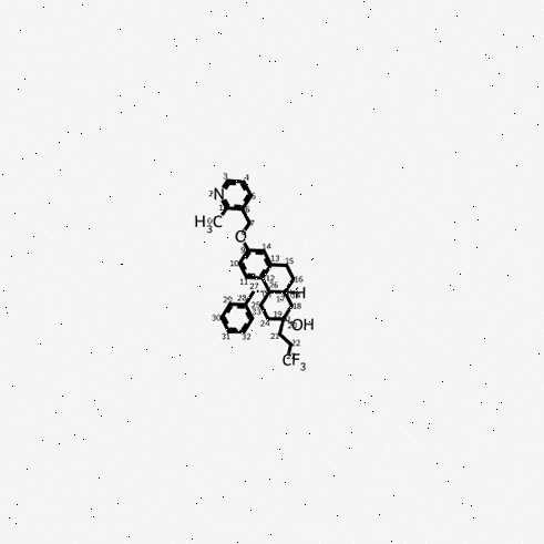 Cc1ncccc1COc1ccc2c(c1)CC[C@@H]1C[C@@](O)(CCC(F)(F)F)CC[C@@]21Cc1ccccc1